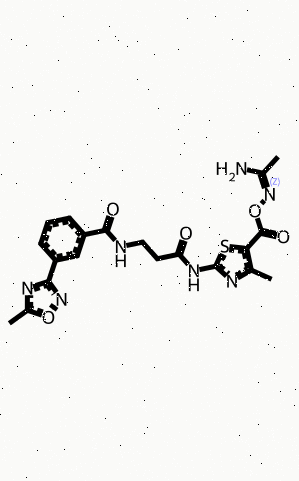 C/C(N)=N/OC(=O)c1sc(NC(=O)CCNC(=O)c2cccc(-c3noc(C)n3)c2)nc1C